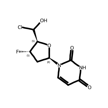 O=c1ccn([C@H]2C[C@H](F)[C@@H](C(O)Cl)O2)c(=O)[nH]1